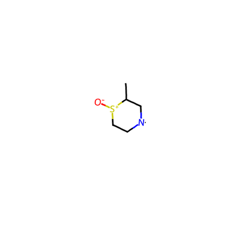 CC1C[N]CC[S+]1[O-]